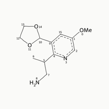 COc1cnc(C(C)CN)c(C2OCCO2)c1